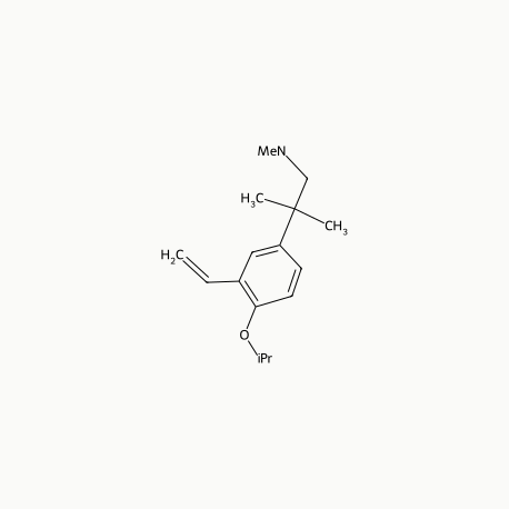 C=Cc1cc(C(C)(C)CNC)ccc1OC(C)C